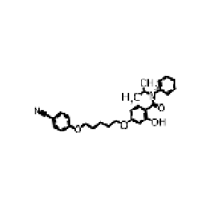 CC(C)N(C(=O)c1ccc(OCCCCCOc2ccc(C#N)cc2)cc1O)c1ccccc1